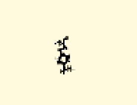 CN(C)CCc1ccc(N(I)I)cc1